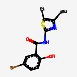 CCc1sc(NC(=O)c2cc(Br)ccc2O)nc1C(C)(C)C